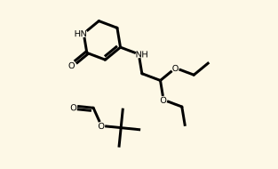 CC(C)(C)OC=O.CCOC(CNC1=CC(=O)NCC1)OCC